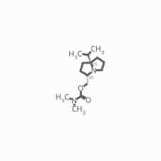 CC(C)[C@@]12CCCN1[C@H](COC(=O)N(C)C)CC2